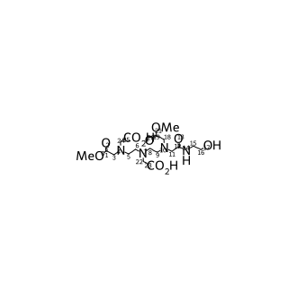 COC(=O)CN(CCN(CCN(CC(=O)NCCO)CC(=O)OC)CC(=O)O)CC(=O)O